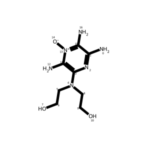 Nc1nc(N(CCO)CCO)c(N)[n+]([O-])c1N